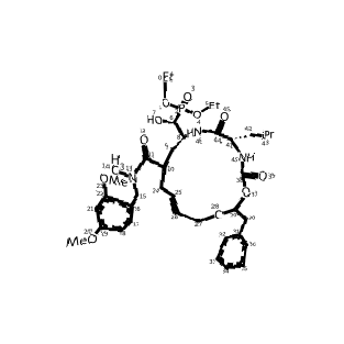 CCOP(=O)(OCC)[C@H](O)[C@@H]1CC(C(=O)N(C)Cc2ccc(OC)cc2OC)C/C=C/CCC(Cc2ccccc2)OC(=O)N[C@@H](CC(C)C)C(=O)N1